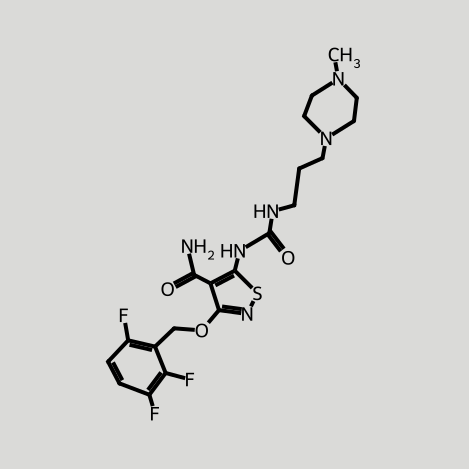 CN1CCN(CCCNC(=O)Nc2snc(OCc3c(F)ccc(F)c3F)c2C(N)=O)CC1